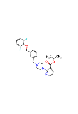 CC(C)OC(=O)c1cccnc1N1CCN(Cc2cccc(COc3c(F)cccc3F)c2)CC1